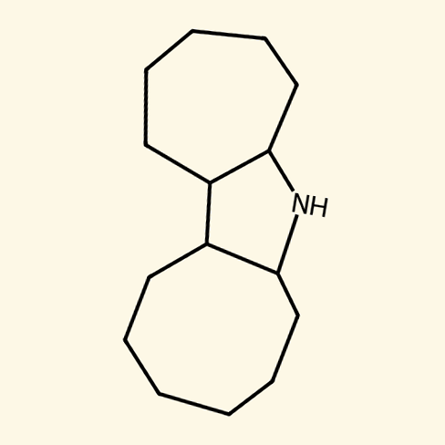 C1CCCC2C(CC1)NC1CCCCCC12